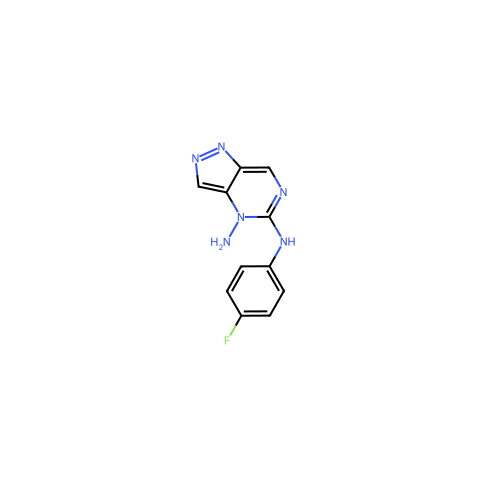 Nn1c2cnnc-2cnc1Nc1ccc(F)cc1